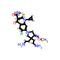 CON=C1CN(c2cc3c(cc2F)c(=O)c2c(=O)[nH]sc2n3C2CC2)CC1(CCN)CCN